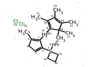 CCC[Si]1(C2=CCC(C)=[C]2[Hf+2][C]2=C(C)C(C)=C(C)C2(C)C)CCC1.[Cl-].[Cl-]